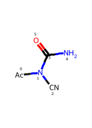 CC(=O)N(C#N)C(N)=O